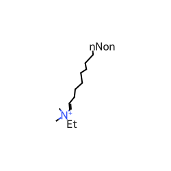 CCCCCCCCCCCCCCCCC=C[N+](C)(C)CC